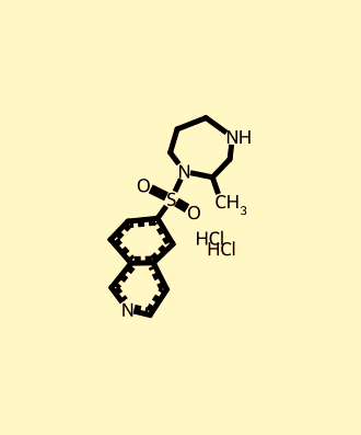 CC1CNCCCN1S(=O)(=O)c1ccc2cnccc2c1.Cl.Cl